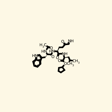 CC(=O)N[C@@H](Cc1c[nH]c2ccccc12)C(=O)N[C@@H](CCC(=O)C=N)C(=O)N[C@@H](CC(C)C)C(=O)OC1CCCC1